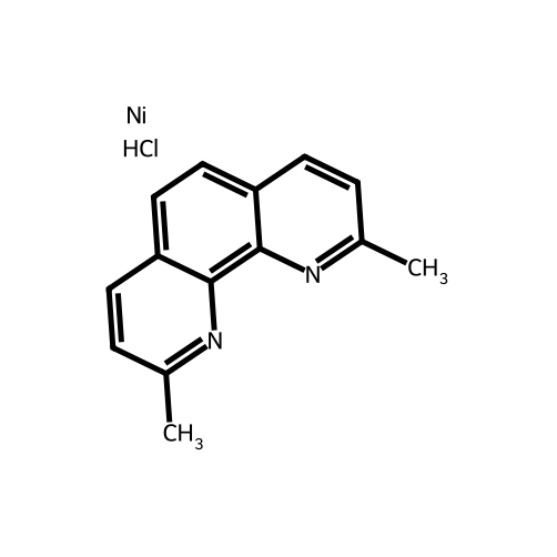 Cc1ccc2ccc3ccc(C)nc3c2n1.Cl.[Ni]